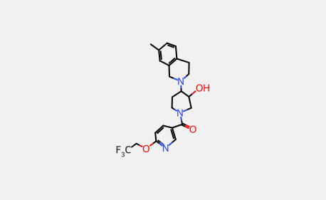 Cc1ccc2c(c1)CN(C1CCN(C(=O)c3ccc(OCC(F)(F)F)nc3)CC1O)CC2